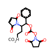 O=C(O)CCC(C(OC(=O)ON1C(=O)CCC1=O)c1ccccc1)N1C(=O)C=CC1=O